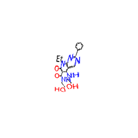 CCn1c(=O)c(C(=O)NCCO)c(NCCO)c2cnc(-c3ccccc3)nc21